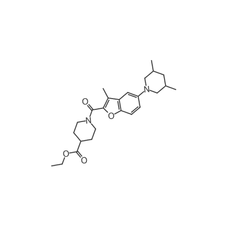 CCOC(=O)C1CCN(C(=O)c2oc3ccc(N4CC(C)CC(C)C4)cc3c2C)CC1